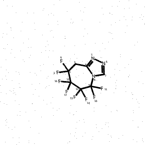 FC1(F)Cc2nncn2C(F)(F)C(F)(F)C1(F)F